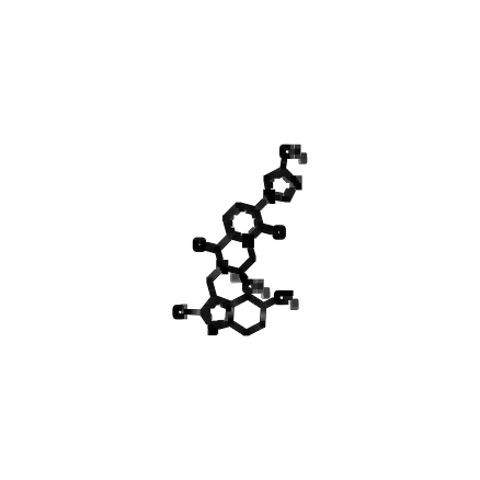 Cc1cn(-c2ccc3n(c2=O)C[C@@H](C)N(Cc2c(Cl)sc4c2CC(C(F)(F)F)CC4)C3=O)cn1